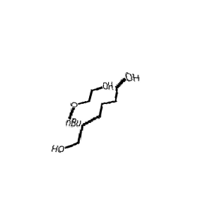 CCCCOCCO.OCCCCCCO